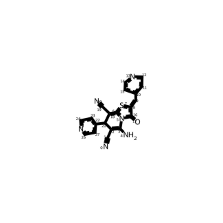 N#CC1=C(N)n2c(sc(=Cc3ccncc3)c2=O)=C(C#N)C1c1ccncc1